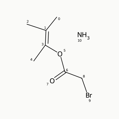 CC(C)=C(C)OC(=O)CBr.N